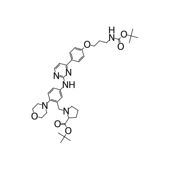 CC(C)(C)OC(=O)NCCCOc1ccc(-c2ccnc(Nc3ccc(N4CCOCC4)c(CN4CCCC4C(=O)OC(C)(C)C)c3)n2)cc1